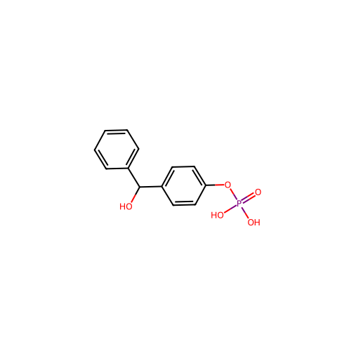 O=P(O)(O)Oc1ccc(C(O)c2ccccc2)cc1